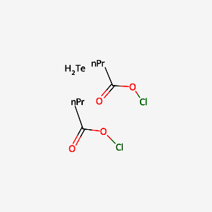 CCCC(=O)OCl.CCCC(=O)OCl.[TeH2]